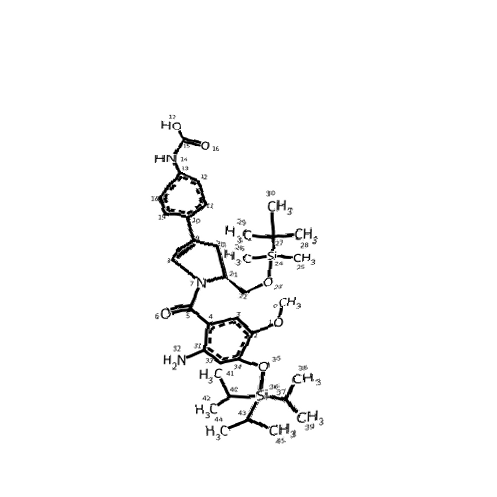 COc1cc(C(=O)N2C=C(c3ccc(NC(=O)O)cc3)C[C@H]2CO[Si](C)(C)C(C)(C)C)c(N)cc1O[Si](C(C)C)(C(C)C)C(C)C